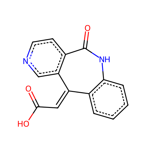 O=C(O)/C=C1/c2ccccc2NC(=O)c2ccncc21